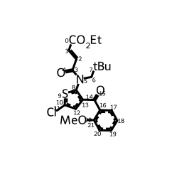 CCOC(=O)C=CC(=O)N(CC(C)(C)C)c1sc(Cl)cc1C(=O)c1ccccc1OC